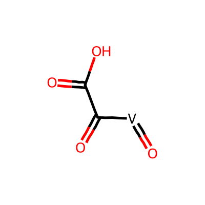 [O]=[V][C](=O)C(=O)O